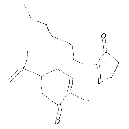 C=C(C)C1CC=C(C)C(=O)C1.CCCCCCC1=CCCC1=O